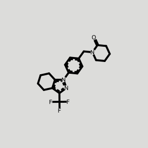 O=C1CCCCN1Cc1ccc(-n2nc(C(F)(F)F)c3c2CCCC3)cc1